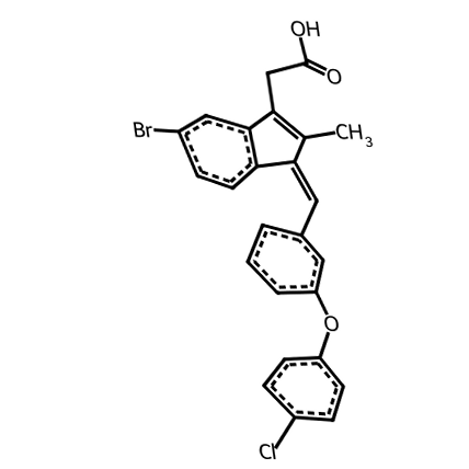 CC1=C(CC(=O)O)c2cc(Br)ccc2/C1=C\c1cccc(Oc2ccc(Cl)cc2)c1